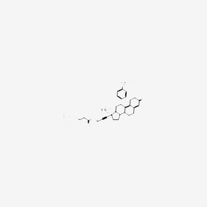 CN(C)c1ccc([C@H]2C[C@@]3(C)C(CC[C@@]3(O)C#CCOC(=O)CCC(=O)O)C3CCC4=CC(=O)CCC4=C32)cc1